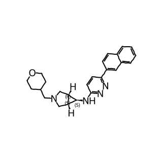 c1ccc2cc(-c3ccc(N[C@H]4[C@@H]5CN(CC6CCOCC6)C[C@@H]54)nn3)ccc2c1